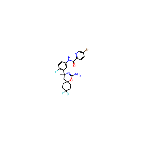 CC1(c2cc(NC(=O)c3ccc(Br)cn3)ccc2F)CC2(CCC(F)(F)CC2)OC(N)=N1